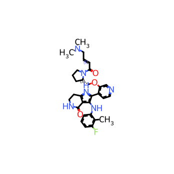 Cc1c(F)cccc1Nc1c(-c2ccncc2OC[C@@H]2CCCN2C(=O)/C=C/CN(C)C)[nH]c2c1C(=O)NCC2